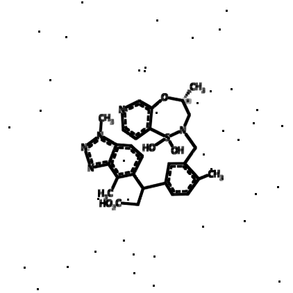 Cc1ccc(C(CC(=O)O)c2ccc3c(nnn3C)c2C)cc1CN1C[C@@H](C)Oc2cnccc2S1(O)O